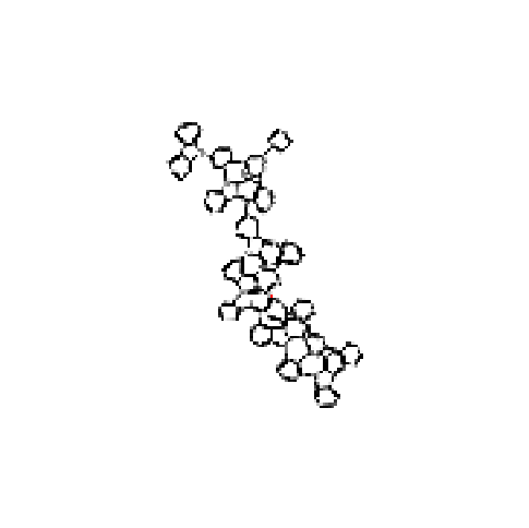 c1ccc(-c2cc(-c3ccc(-n4c5ccccc5c5ccccc54)cc3-n3c4ccccc4c4c(-c5ccc6c(c5)c5ccccc5n6-c5cccc(-n6c7ccccc7c7c(-c8cccc9c8c8ccccc8n9-c8cccc(-n9c%10ccccc%10c%10ccccc%109)c8-c8cc(-c9ccccc9)nc(-c9ccccc9)n8)cccc76)c5-c5nc(-c6ccccc6)nc(-c6ccccc6)n5)cccc43)nc(-c3ccccc3)n2)cc1